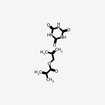 C=C(C)COC(=O)C(=C)C.O=c1[nH]c(=O)[nH]c(=O)[nH]1